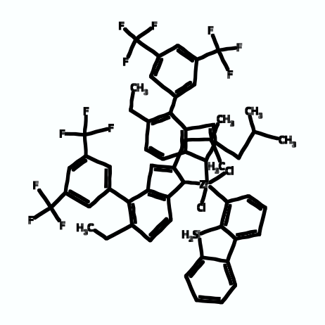 CCc1ccc2c(c1-c1cc(C(F)(F)F)cc(C(F)(F)F)c1)C=C(CC(C)C)[CH]2[Zr]([Cl])([Cl])([c]1cccc2c1[SiH2]c1ccccc1-2)[CH]1C(CC(C)C)=Cc2c1ccc(CC)c2-c1cc(C(F)(F)F)cc(C(F)(F)F)c1